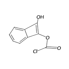 O=C(Cl)OC1=C(O)c2ccccc21